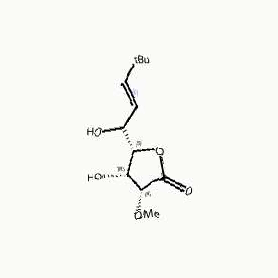 CO[C@H]1C(=O)O[C@@H](C(O)/C=C/C(C)(C)C)[C@H]1O